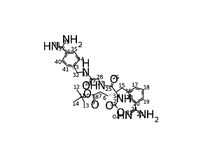 COC(=O)N[C@](CCC(=O)OC(C)(C)C)(Cc1cccc(C(=N)N)c1)C(=O)NCC(=O)NCc1ccc(C(=N)N)cc1